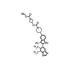 Cc1c(-c2[nH]c3ccc(C4CCN(C(=O)OC5CN(C(=O)OC(C)(C)C)C5)CC4)cc3c2C(C)C)cn2ncnc2c1C